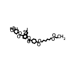 C=CC(=O)OCCCCCCOC(=O)C1CCC(C(=O)Oc2ccc(C(=O)OC3CCC(OCCCC)CC3)c3sc(I)cc23)CC1